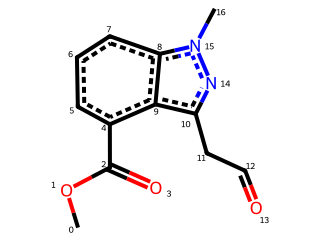 COC(=O)c1cccc2c1c(CC=O)nn2C